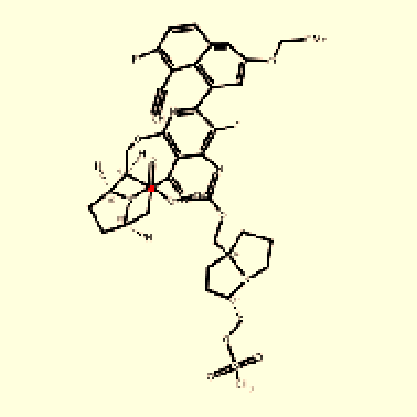 C#Cc1c(F)ccc2cc(OCOC)cc(-c3nc4c5c(nc(OC[C@@]67CCCN6[C@H](COS(C)(=O)=O)CC7)nc5c3F)N3C[C@H]5CC[C@@H]([C@H]3CO4)N5C(=O)OC(C)(C)C)c12